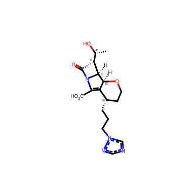 C[C@@H](O)[C@H]1C(=O)N2C(C(=O)O)=C3[C@@H](CCCn4cncn4)CCO[C@@H]3[C@H]12